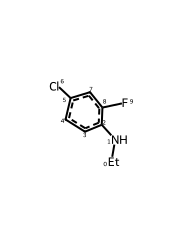 CCNc1ccc(Cl)cc1F